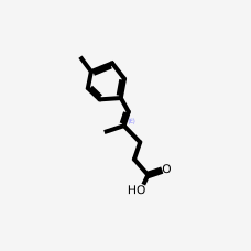 C/C(=C\c1ccc(C)cc1)CCC(=O)O